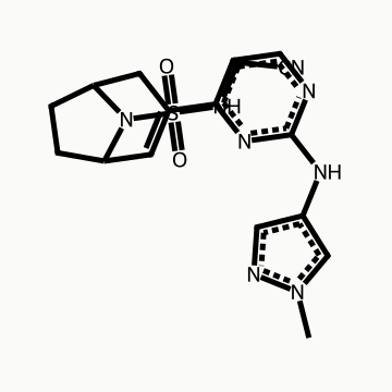 Cn1cc(Nc2nccc(C3=CC4CCC(C3)N4S(=O)(=O)NCC#N)n2)cn1